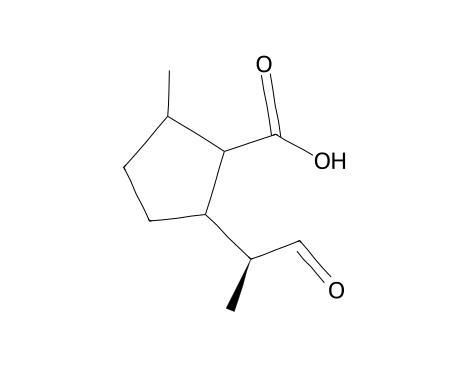 CC1CCC([C@H](C)C=O)C1C(=O)O